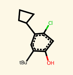 CC(C)(C)c1cc(C2CCC2)c(Cl)cc1O